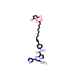 Cc1cc(-c2cccnc2)nc2c(C(=O)Nc3ccc(C#CCCCCCCCCC(=O)ON4C(=O)CCC4=O)cc3)ccn12